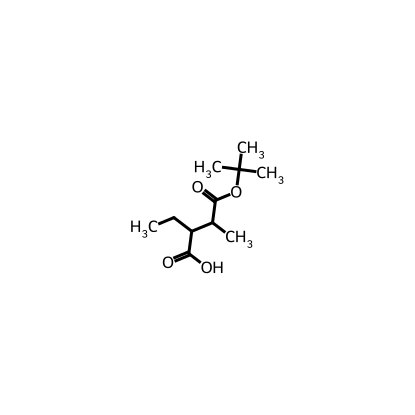 CCC(C(=O)O)C(C)C(=O)OC(C)(C)C